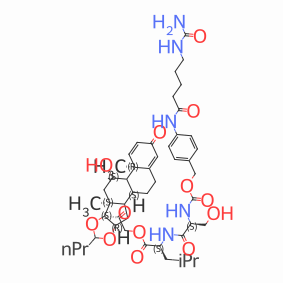 CCCC1O[C@@H]2CC3[C@@H]4CCC5=CC(=O)C=C[C@]5(C)C4[C@@H](O)C[C@]3(C)[C@]2(C(=O)COC(=O)[C@H](CC(C)C)NC(=O)[C@H](CO)NC(=O)OCc2ccc(NC(=O)CCCCNC(N)=O)cc2)O1